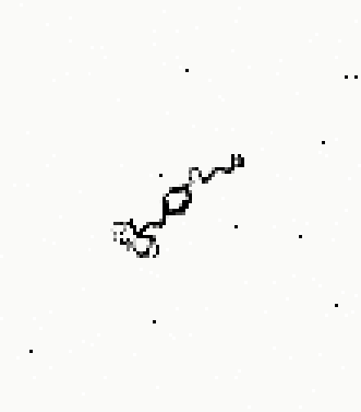 BrCCCOc1ccc(CCC23COCN2COC3)cc1